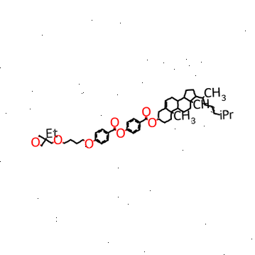 CCC1(COCCCCOc2ccc(C(=O)Oc3ccc(C(=O)OC4CCC5(C)C(=CCC6C5CCC5(C)C(C(C)CCCC(C)C)CCC65)C4)cc3)cc2)COC1